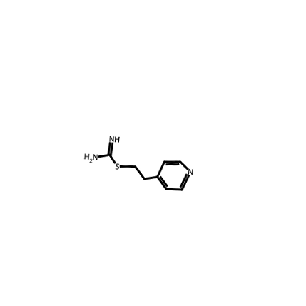 N=C(N)SCCc1ccncc1